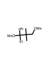 CCCC(CC)(OC)C(C)(C)COC